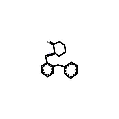 O=C1CCCC/C1=C\c1ccccc1Cc1ccccc1